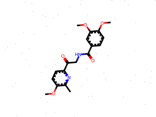 COc1ccc(C(=O)NCC(=O)c2ccc(OC)c(C)n2)cc1OC